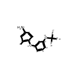 Cc1cc(N)ccc1Oc1cccc(OC(F)(F)F)c1